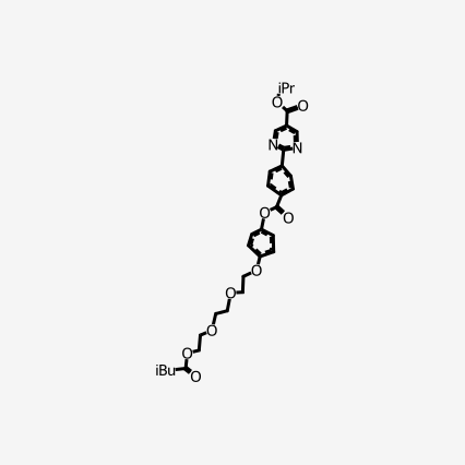 CCC(C)C(=O)OCCOCCOCCOc1ccc(OC(=O)c2ccc(-c3ncc(C(=O)OC(C)C)cn3)cc2)cc1